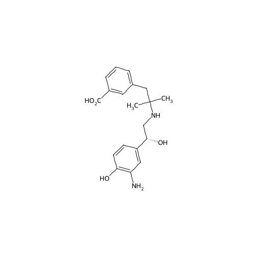 CC(C)(Cc1cccc(C(=O)O)c1)NC[C@H](O)c1ccc(O)c(N)c1